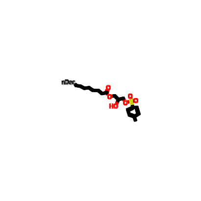 CCCCCCCCCCCCCCCCCC(=O)OCC(O)COS(=O)(=O)c1ccc(C)cc1